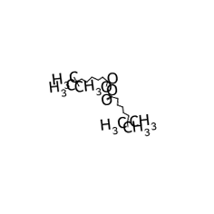 CC(C)(C)CCCCCC(=O)OOC(=O)CCCCCC(C)(C)C